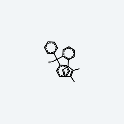 CC1=C(C)C(c2ccccc2C(O)(c2ccccc2)c2ccccc2)C=C1